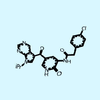 CC(C)n1cc(C(=O)c2c[nH]c(=O)c(NC(=O)Cc3ccc(Cl)cc3)c2)c2cncnc21